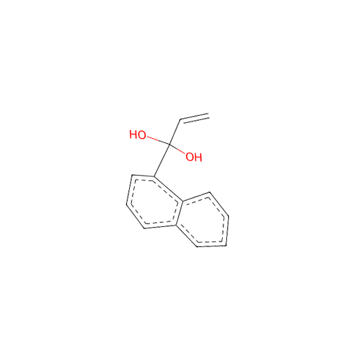 C=CC(O)(O)c1cccc2ccccc12